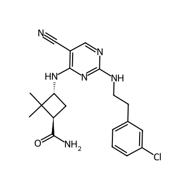 CC1(C)[C@H](Nc2nc(NCCc3cccc(Cl)c3)ncc2C#N)C[C@H]1C(N)=O